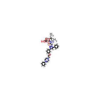 CC(C)C[C@H](NC(=O)Cn1nc(-c2cccc(OCCN3CCN(c4ccccc4)CC3)c2)cc1-c1ccccc1)OB(O)O